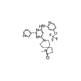 CN1C(=O)CCC12CCN(c1cc(Nc3cc(OC(F)(F)F)ccn3)nc(-c3cccnc3)n1)CC2